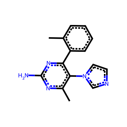 Cc1ccccc1-c1nc(N)nc(C)c1-n1ccnc1